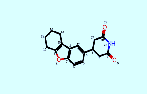 O=C1CC(c2ccc3oc4c(c3c2)CCCC4)CC(=O)N1